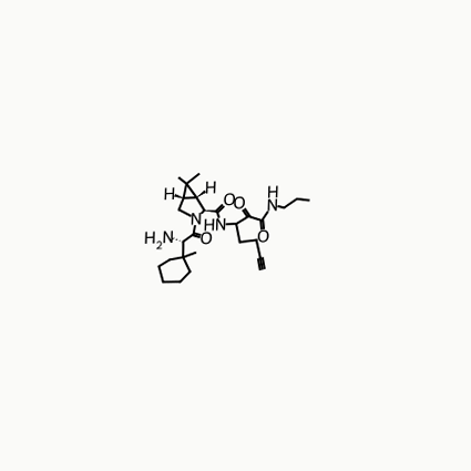 C#CCCC(NC(=O)[C@@H]1[C@@H]2[C@H](CN1C(=O)[C@@H](N)C1(C)CCCCC1)C2(C)C)C(=O)C(=O)NCCC